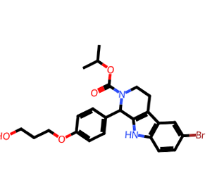 CC(C)OC(=O)N1CCc2c([nH]c3ccc(Br)cc23)C1c1ccc(OCCCO)cc1